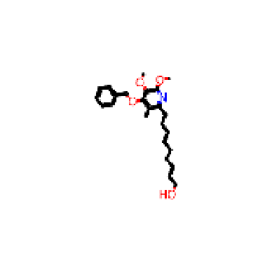 COc1nc(CCCCCCCCCO)c(C)c(OCc2ccccc2)c1OC